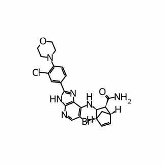 NC(=O)[C@@H]1[C@H](Nc2c(Br)cnc3[nH]c(-c4ccc(N5CCOCC5)c(Cl)c4)nc23)[C@H]2C=C[C@@H]1C2